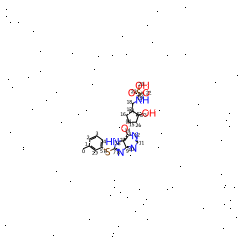 Cc1cccc(Sc2nc3ncnc(O[C@@H]4C[C@@H](CNS(=O)(=O)O)[C@@H](O)C4)c3[nH]2)c1